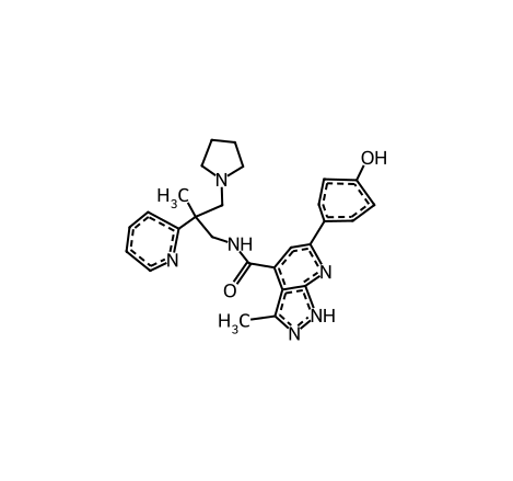 Cc1n[nH]c2nc(-c3ccc(O)cc3)cc(C(=O)NCC(C)(CN3CCCC3)c3ccccn3)c12